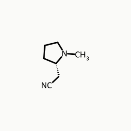 CN1CCC[C@H]1CC#N